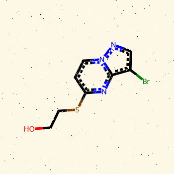 OCCSc1ccn2ncc(Br)c2n1